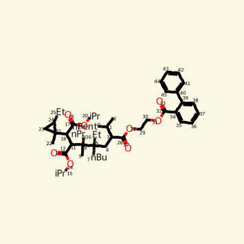 CCCCCC(C)C(CC(CC)(CCCC)C(C)(CCC)C(C(=O)OC(C)C)C(C(=O)OC(C)C)C1(C)CC1CC)C(=O)OCCOC(=O)c1ccccc1-c1ccccc1